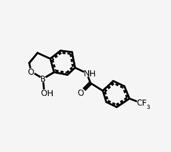 O=C(Nc1ccc2c(c1)B(O)OCC2)c1ccc(C(F)(F)F)cc1